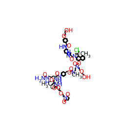 Cc1cccc2c(OC(=O)N(CCOCCO)CCN(C)C(=O)OCc3ccc(NC(=O)[C@H](CCCNC(N)=O)NC(=O)[C@@H](NC(=O)OCCOCCN4C(=O)C=CC4=O)C(C)C)cc3)cc3c(c12)[C@H](CCl)CN3C(=O)c1cn2cc(NC(=O)c3ccc(OCCO)cc3)ccc2n1